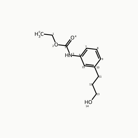 CCOC(=O)Nc1cccc(CCCO)c1